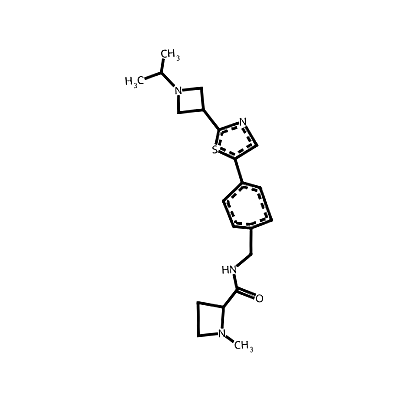 CC(C)N1CC(c2ncc(-c3ccc(CNC(=O)C4CCN4C)cc3)s2)C1